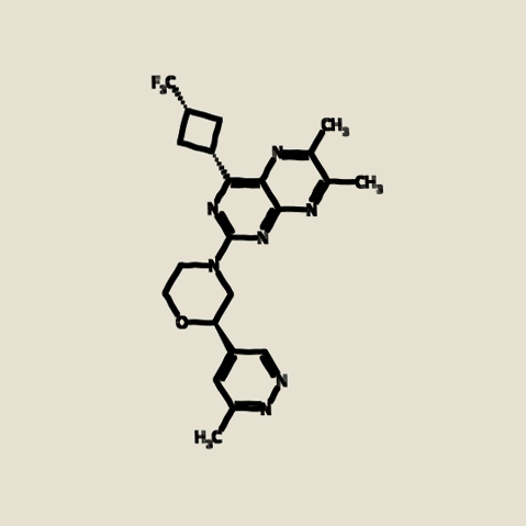 Cc1cc([C@@H]2CN(c3nc4nc(C)c(C)nc4c([C@H]4C[C@@H](C(F)(F)F)C4)n3)CCO2)cnn1